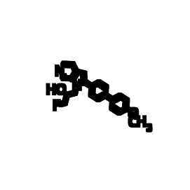 COc1ccc(-c2ccc(-c3cc4ccncc4n3CC(O)CF)cc2)cc1